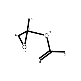 C=C(C)OC1(C)CO1